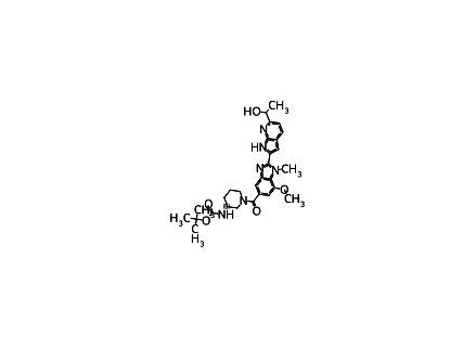 COc1cc(C(=O)N2CCC[C@@H](NC(=O)OC(C)(C)C)C2)cc2nc(-c3cc4ccc(C(C)O)nc4[nH]3)n(C)c12